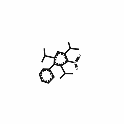 CC(C)c1cc(C(C)C)c(P(=O)=O)c(C(C)C)c1-c1ccccc1